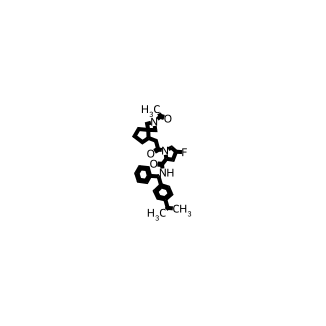 CC(=O)N1CC2(CCCC2CC(=O)N2CC(F)CC2C(=O)NC(c2ccccc2)c2ccc(C(C)C)cc2)C1